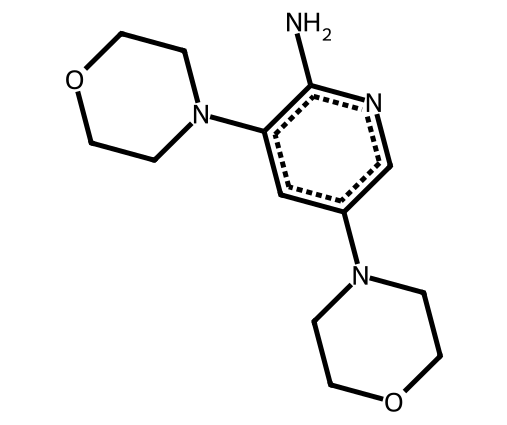 Nc1ncc(N2CCOCC2)cc1N1CCOCC1